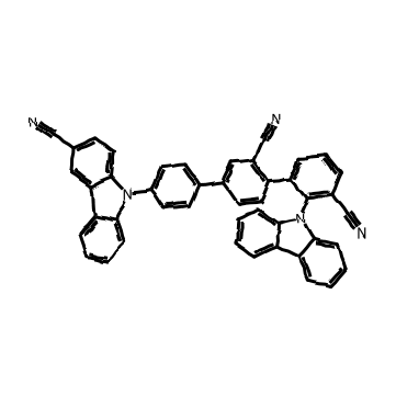 N#Cc1ccc2c(c1)c1ccccc1n2-c1ccc(-c2ccc(-c3cccc(C#N)c3-n3c4ccccc4c4ccccc43)c(C#N)c2)cc1